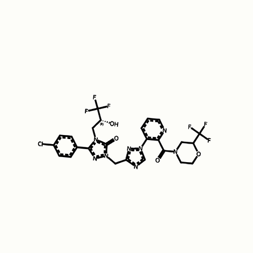 O=C(c1ncccc1-n1cnc(Cn2nc(-c3ccc(Cl)cc3)n(C[C@@H](O)C(F)(F)F)c2=O)n1)N1CCOC(C(F)(F)F)C1